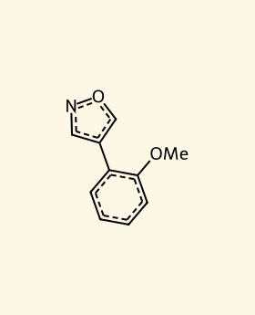 COc1ccccc1-c1cnoc1